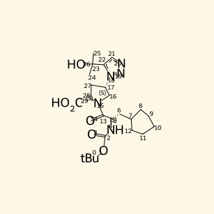 CC(C)(C)OC(=O)N[C@@H](CC1CCCCC1)C(=O)N1C[C@@H](n2nncc2C(C)(C)O)C[C@H]1C(=O)O